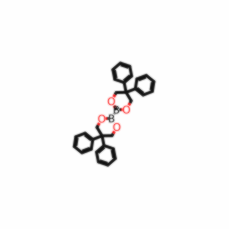 c1ccc(C2(c3ccccc3)COB(B3OCC(c4ccccc4)(c4ccccc4)CO3)OC2)cc1